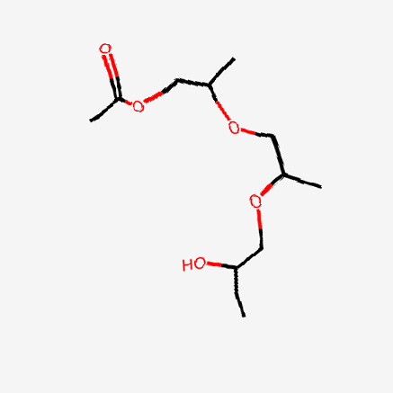 CC(=O)OCC(C)OCC(C)OCC(C)O